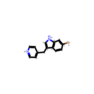 Brc1ccc2c(Cc3ccncc3)c[nH]c2c1